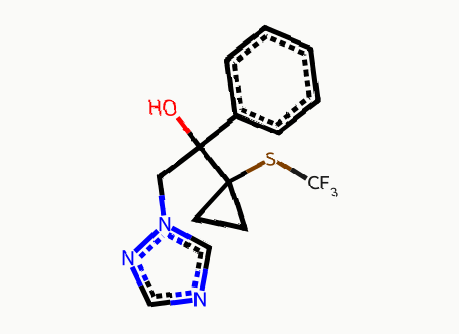 OC(Cn1cncn1)(c1ccccc1)C1(SC(F)(F)F)CC1